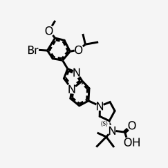 COc1cc(OC(C)C)c(-c2cn3ccc(N4CC[C@H](N(C(=O)O)C(C)(C)C)C4)cc3n2)cc1Br